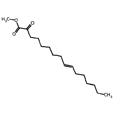 CCCCCCC=CCCCCCCC(=O)C(=O)OC